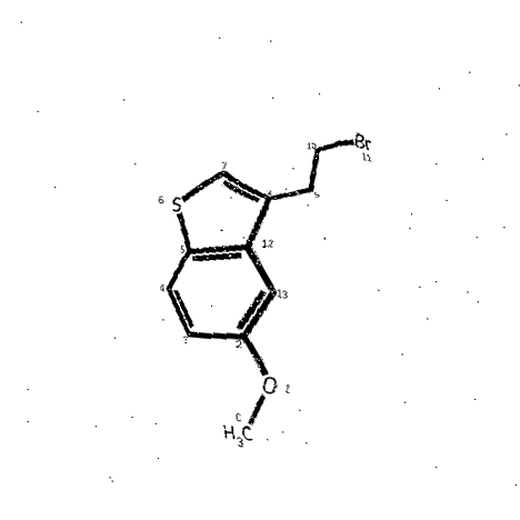 COc1ccc2scc(CCBr)c2c1